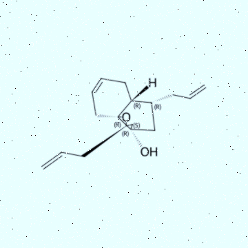 C=CC[C@@H]1C[C@@]2(O)C[C@@H](CC=C)[C@H]3CC=CC[C@@]32O1